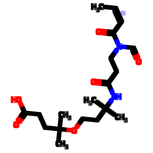 C/C=C\C(=O)N(C=O)CCC(=O)NC(C)(C)CCOC(C)(C)CCC(=O)O